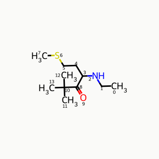 CCNC(CCSC)C(=O)C(C)(C)C